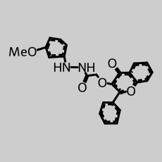 COc1cccc(NNC(=O)COc2c(-c3ccccc3)oc3ccccc3c2=O)c1